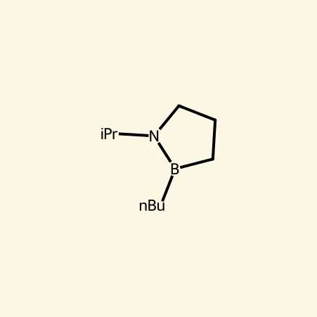 CCCCB1CCCN1C(C)C